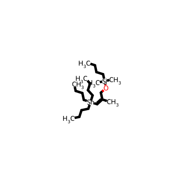 CCCC[Si](C)(C)OC/C(C)=[CH]\[Sn]([CH2]CCC)([CH2]CCC)[CH2]CCC